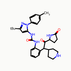 Cc1ccc(-n2nc(C(C)(C)C)cc2NC(=O)Nc2ccccc2C(C(=O)C2CCC(=O)N2)C2CCNCC2)cc1